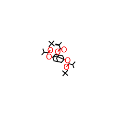 C=C(C)C(=O)OC12CC3CC(OC(OCC(C)(C)C)C(C)C)(C1)CC(OC(OCC(C)(C)C)C(C)C)(C3)C2